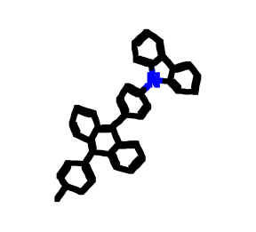 CC1C=CC(c2c3ccccc3c(-c3ccc(-n4c5ccccc5c5ccccc54)cc3)c3ccccc23)=CC1